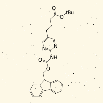 CC(C)(C)OC(=O)CCCc1cnc(NC(=O)OCC2c3ccccc3-c3ccccc32)nc1